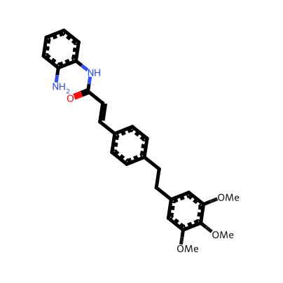 COc1cc(CCc2ccc(/C=C/C(=O)Nc3ccccc3N)cc2)cc(OC)c1OC